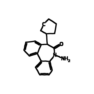 NN1C(=O)C(C2CCCCC2)c2ccccc2-c2ccccc21